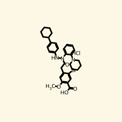 COc1cc(CC(=O)N(Nc2ccc(C3CCCCC3)cc2)c2ccccc2N2CCCCC2)c(Br)cc1C(=O)O.Cl